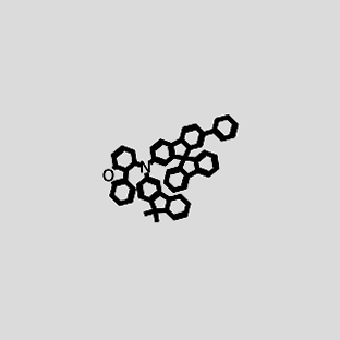 CC1(C)c2ccc(N(c3ccc4c(c3)C3(C5=CCCC=C5c5ccccc53)C3C=C(C5=CC=CCC5)C=CC43)C3CC=CC4OC5=C(C=CCC5)C43)cc2C2CCC=CC21